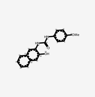 COc1ccc(NC(=O)Nc2cc3ccccc3cc2O)cc1